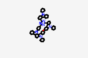 c1ccc(-n2c3ccccc3c3c(-c4nc(-c5ccc(-n6c7ccccc7c7ccc8c(c9ccccc9n8-c8ccccc8)c76)cc5)nc(-c5cccc6c5c5ccccc5n6-c5ccccc5)n4)cccc32)cc1